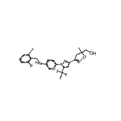 CC1(CO)CC(c2cc(C(F)(F)F)n(-c3ccc(NCc4c(F)cccc4F)cn3)n2)=NO1